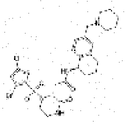 O=C(C[C@@H]1C(=O)NCCN1S(=O)(=O)c1sc(Cl)cc1Br)N[C@@H]1CCCc2cc(CN3CCCCC3)ccc21